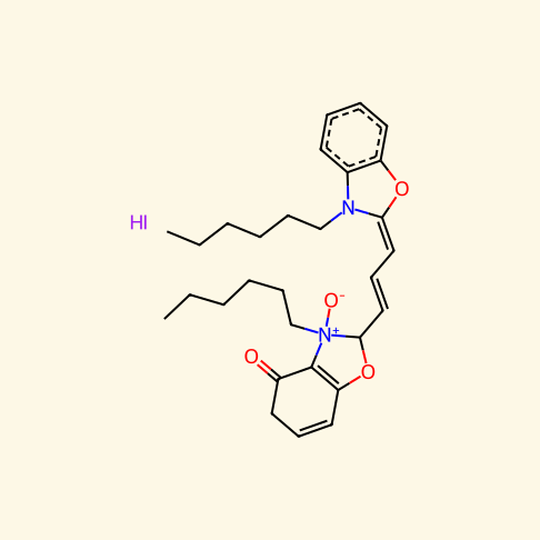 CCCCCCN1C(=CC=CC2OC3=C(C(=O)CC=C3)[N+]2([O-])CCCCCC)Oc2ccccc21.I